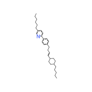 CCCCCCc1ccc(-c2ccc(CCC=CC3CCC(CCCCC)CC3)cc2)nc1